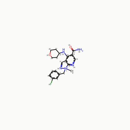 CC[N+]1(Cc2cccc(F)c2)N=Cc2c1ncc(C(N)=O)c2NC1CCOCC1